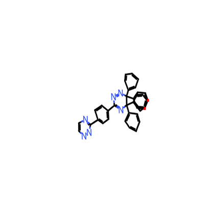 c1ccc(C2(c3ccccc3)N=NC(c3ccc(-c4nccnn4)cc3)=NC2(c2ccccc2)c2ccccc2)cc1